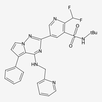 CC(C)(C)NS(=O)(=O)c1cc(-c2nc(NCc3ccccn3)c3c(-c4ccccc4)ccn3n2)cnc1C(F)F